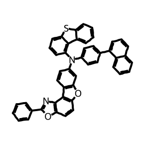 c1ccc(-c2nc3c(ccc4oc5cc(N(c6ccc(-c7cccc8ccccc78)cc6)c6cccc7sc8ccccc8c67)ccc5c43)o2)cc1